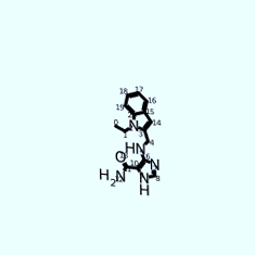 CCn1c(CNc2nc[nH]c2C(N)=O)cc2ccccc21